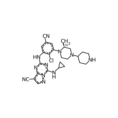 C[C@H]1CN(C2CCNCC2)CCN1c1cc(C#N)cc(Nc2nc(NC3CC3)n3ncc(C#N)c3n2)c1Cl